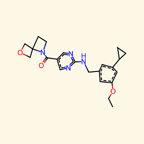 CCOc1cc(CNc2ncc(C(=O)N3CCC34COC4)cn2)cc(C2CC2)c1